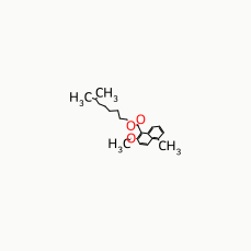 COc1ccc2c(C)cccc2c1C(=O)OCCCCCCC(C)C